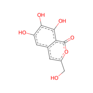 O=c1oc(CO)cc2cc(O)c(O)c(O)c12